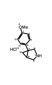 COc1ccc(C23CNCC2C3)cc1.Cl